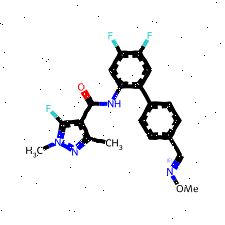 CO/N=C/c1ccc(-c2cc(F)c(F)cc2NC(=O)c2c(C)nn(C)c2F)cc1